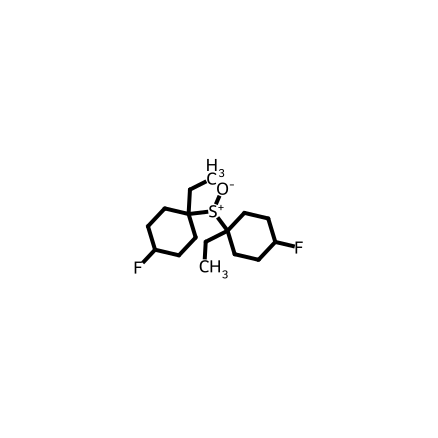 CCC1([S+]([O-])C2(CC)CCC(F)CC2)CCC(F)CC1